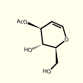 CC(=O)O[C@H]1C=CO[C@@H](CO)[C@@H]1O